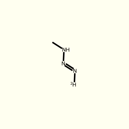 [2H]N=NNC